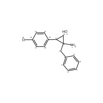 Cl.NC1(Cc2ccccc2)CC1c1ccc(Cl)cc1